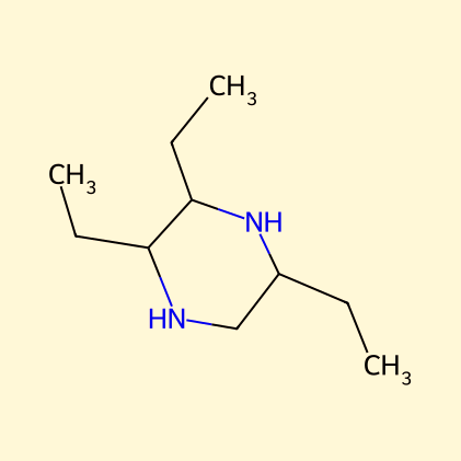 CCC1CNC(CC)C(CC)N1